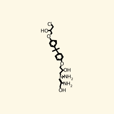 CC(C)(c1ccc(OCC(O)CCl)cc1)c1ccc(OCC(O)CN(N)/C=C(\N)CO)cc1